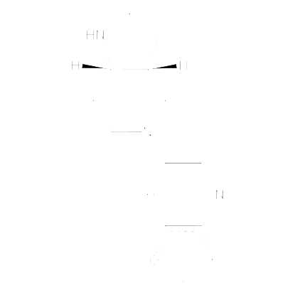 c1cc2ncc(N3CC[C@@H]4NCC[C@@H]4C3)cc2o1